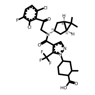 CC1CC(n2ncc(C(=O)N(CC(=O)c3c(Cl)ccc(F)c3Cl)[C@@H]3C[C@@H]4[C@H](C3)C4(C)C)c2C(F)(F)F)CCC1C(=O)O